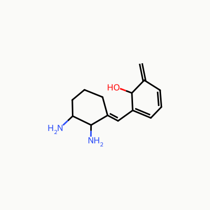 C=C1C=CC=C(C=C2CCCC(N)C2N)C1O